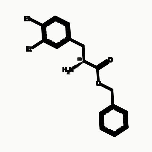 CCc1ccc(C[C@@H](N)C(=O)OCc2ccccc2)cc1CC